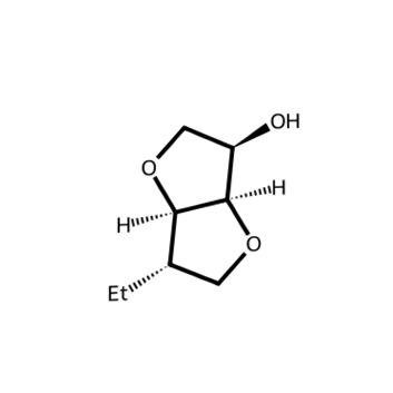 CC[C@H]1CO[C@H]2[C@@H]1OC[C@H]2O